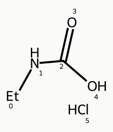 CCNC(=O)O.Cl